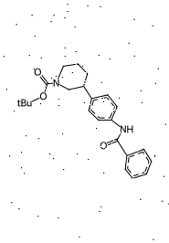 CC(C)(C)OC(=O)N1CCCC(c2ccc(NC(=O)c3ccccc3)cc2)C1